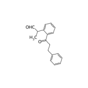 CC(C=O)c1ccccc1C(=O)CCc1ccccc1